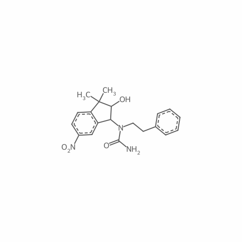 CC1(C)c2ccc([N+](=O)[O-])cc2C(N(CCc2ccccc2)C(N)=O)C1O